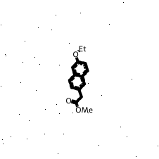 CCOc1ccc2cc(CC(=O)OC)ccc2c1